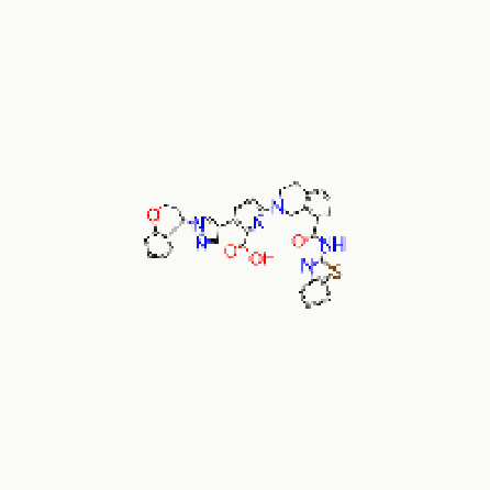 O=C(Nc1nc2ccccc2s1)c1cccc2c1CN(c1ccc(-c3cnn(C4CCOc5ccccc54)c3)c(C(=O)O)n1)CC2